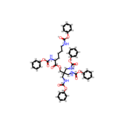 O=C(NCCCCC(NC(=O)Oc1ccccc1)C(=O)OCC(CNC(=O)Oc1ccccc1)(CNC(=O)Oc1ccccc1)CNC(=O)Oc1ccccc1)Oc1ccccc1